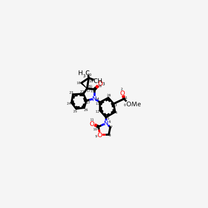 COC(=O)c1cc(N2CCOC2=O)cc(N2C(=O)[C@]3(CC3(C)C)c3ccccc32)c1